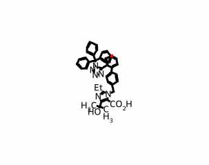 CCc1nc(C(C)(C)O)c(C(=O)O)n1Cc1ccc(-c2ccccc2-c2nnnn2C(c2ccccc2)(c2ccccc2)c2ccccc2)cc1